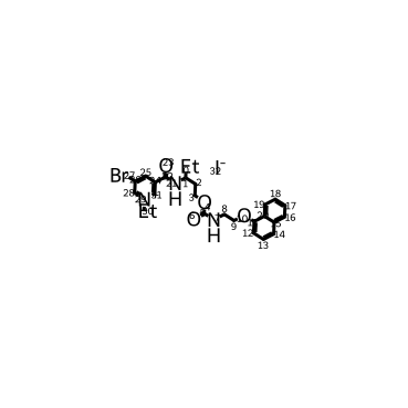 CCC(CCOC(=O)NCCOc1cccc2ccccc12)NC(=O)c1cc(Br)c[n+](CC)c1.[I-]